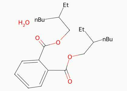 CCCCC(CC)COC(=O)c1ccccc1C(=O)OCC(CC)CCCC.O